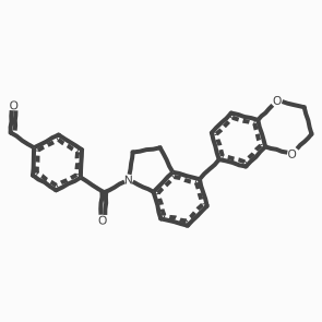 O=Cc1ccc(C(=O)N2CCc3c(-c4ccc5c(c4)OCCO5)cccc32)cc1